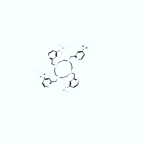 O=S(=O)(O)c1ccnc(CN2CCN(Cc3cc(S(=O)(=O)O)ccn3)CCN(Cc3cc(S(=O)(=O)O)ccn3)CCN(Cc3cc(S(=O)(=O)O)ccn3)CC2)c1